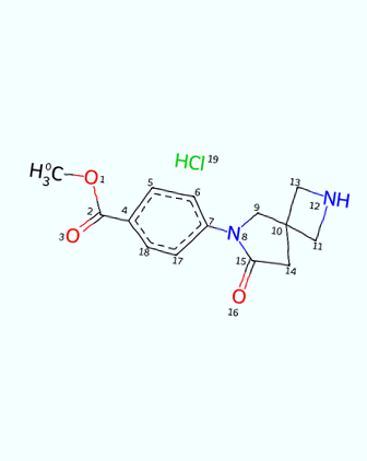 COC(=O)c1ccc(N2CC3(CNC3)CC2=O)cc1.Cl